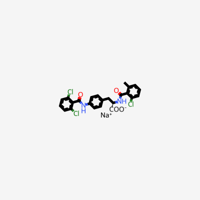 Cc1cccc(Cl)c1C(=O)N[C@@H](Cc1ccc(NC(=O)c2c(Cl)cccc2Cl)cc1)C(=O)[O-].[Na+]